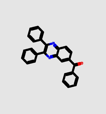 O=C(c1ccccc1)c1ccc2nc(-c3ccccc3)c(-c3ccccc3)nc2c1